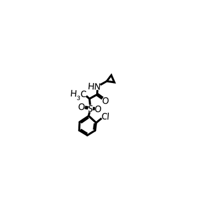 CC(C(=O)NC1CC1)S(=O)(=O)c1ccccc1Cl